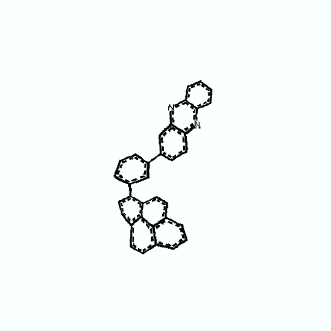 c1cc(-c2ccc3nc4ccccc4nc3c2)cc(-c2ccc3ccc4cccc5ccc2c3c45)c1